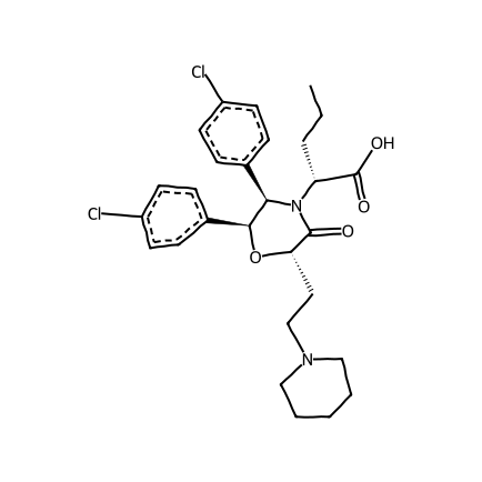 CCC[C@H](C(=O)O)N1C(=O)[C@H](CCN2CCCCC2)O[C@@H](c2ccc(Cl)cc2)[C@H]1c1ccc(Cl)cc1